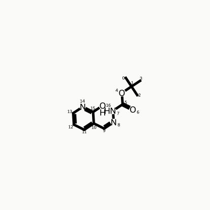 CC(C)(C)OC(=O)N/N=C\c1cccnc1O